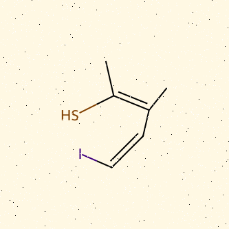 C/C(S)=C(C)/C=C\I